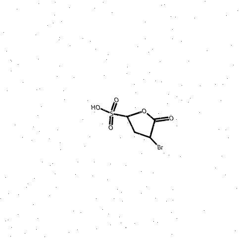 O=C1OC(S(=O)(=O)O)CC1Br